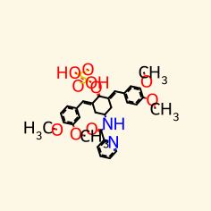 COc1ccc(/C=C2\CC(NC(=O)c3ccccn3)C/C(=C\c3ccc(OC)c(OC)c3)C2=O)cc1OC.O=S(=O)(O)O